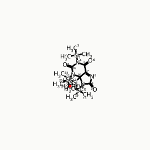 C[Si](C)(C)N1C(=O)C2=NC(=O)N([Si](C)(C)C)C2([Si](C)(C)C)N([Si](C)(C)C)C1=O